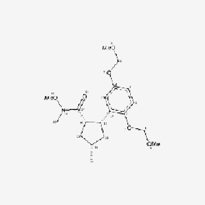 COCOc1ccc(OCOC)c([C@@H]2C[C@H](C)C[C@@H]2C(=O)N(C)OC)c1